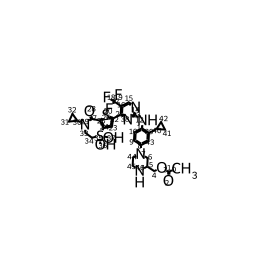 CC(=O)OCC1CN(c2ccc(Nc3ncc(C(F)(F)F)c(-c4cc5c(s4)C(=O)N(C4CC4)CCS5(O)O)n3)c(C3CC3)c2)CCN1